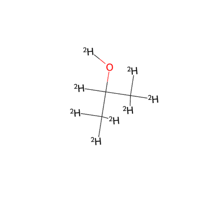 [2H]OC([2H])(C([2H])([2H])[2H])C([2H])([2H])[2H]